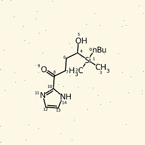 CCCC[Si](C)(C)C(O)CCC(=O)c1ncc[nH]1